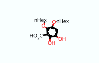 CCCCCCOc1cc(O)c(O)c(C(=O)O)c1OCCCCCC